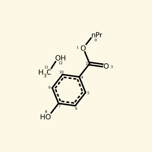 CCCOC(=O)c1ccc(O)cc1.CO